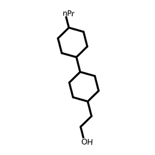 CCCC1CCC(C2CCC(CCO)CC2)CC1